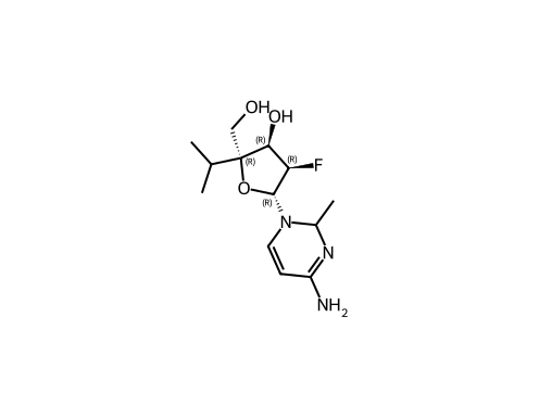 CC1N=C(N)C=CN1[C@@H]1O[C@@](CO)(C(C)C)[C@@H](O)[C@H]1F